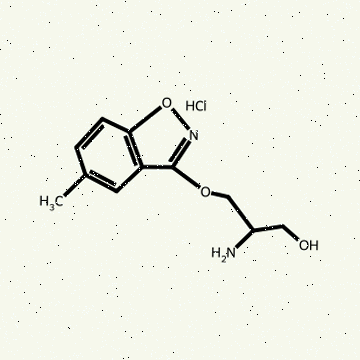 Cc1ccc2onc(OCC(N)CO)c2c1.Cl